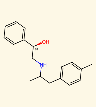 Cc1ccc(CC(C)NC[C@H](O)c2ccccc2)cc1